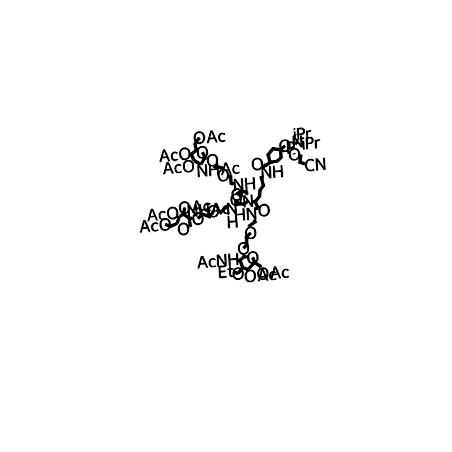 CCOC1C(NC(C)=O)C(OCCOCCNC(=O)C(CCCCNC(=O)C2CCC(OP(OCCC#N)N(C(C)C)C(C)C)CC2)N(CC(=O)NCCOCCOC2OC(COC(C)=O)C(OC(C)=O)C(OC(C)=O)C2NC(C)=O)CC(=O)NCCOCCOC2(NC(C)=O)COC(COC(C)=O)C(OC(C)=O)C2OC(C)=O)OC(COC(C)=O)C1OC(C)=O